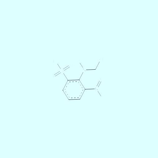 CCN(O)c1c([N+](=O)[O-])cccc1S(=O)(=O)O